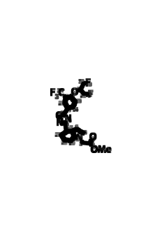 COC(=O)Cn1ccc2c(-c3noc(-c4ccc(OC(CF)CF)c(C(F)(F)F)c4)n3)cccc21